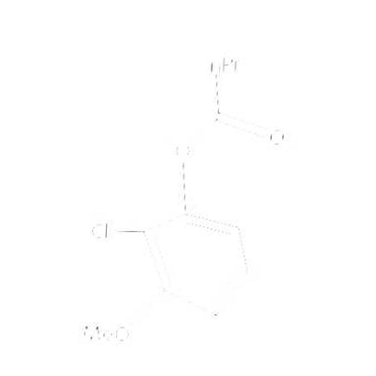 CCCC(=O)Oc1cccc(OC)c1Cl